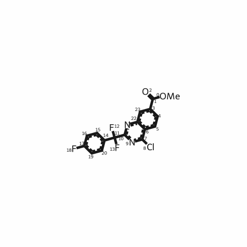 COC(=O)c1ccc2c(Cl)nc(C(F)(F)c3ccc(F)cc3)nc2c1